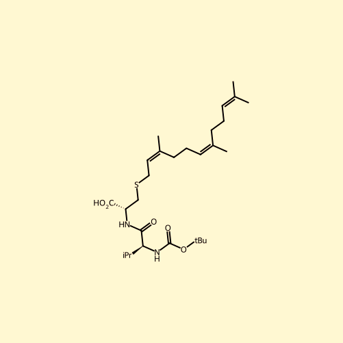 CC(C)=CCCC(C)=CCCC(C)=CCSC[C@H](NC(=O)[C@@H](NC(=O)OC(C)(C)C)C(C)C)C(=O)O